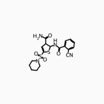 N#Cc1ccccc1C(=O)NC1SC(S(=O)(=O)N2CCCCC2)=CC1C(N)=O